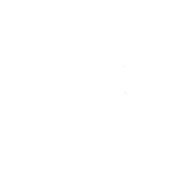 CCCCCCCCCCC(CCCCCCC(CCCCCCCCCC)C(=O)O)C(N)=O